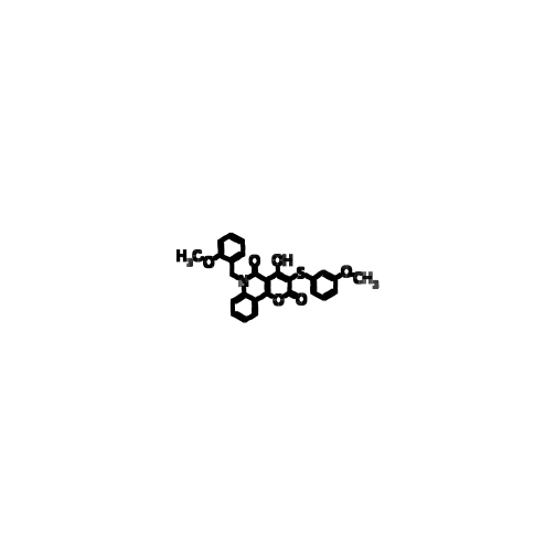 COc1cccc(Sc2c(O)c3c(=O)n(Cc4ccccc4OC)c4ccccc4c3oc2=O)c1